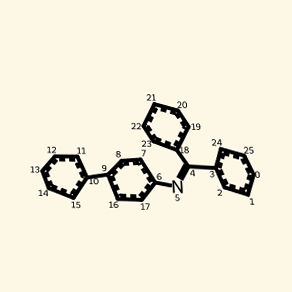 c1ccc(C(=Nc2ccc(-c3ccccc3)cc2)c2ccccc2)cc1